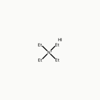 CC[N+](CC)(CC)CC.I